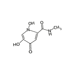 CNC(=O)c1cc(=O)c(O)cn1O